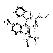 CCOC(=O)[C@H]1Cc2ccccc2N1[C@@H]1c2cc(N)ccc2O[C@](C)(C(OC)OC)[C@H]1O